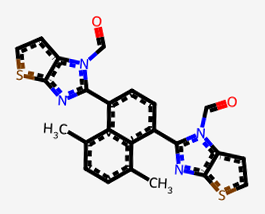 Cc1ccc(C)c2c(-c3nc4sccc4n3C=O)ccc(-c3nc4sccc4n3C=O)c12